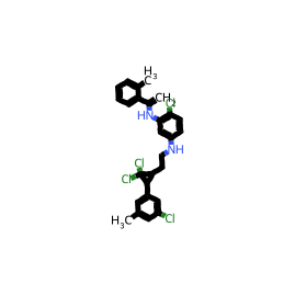 C=C(Nc1cc(NCCC2C(c3cc(C)cc(Cl)c3)C2(Cl)Cl)ccc1Cl)c1ccccc1C